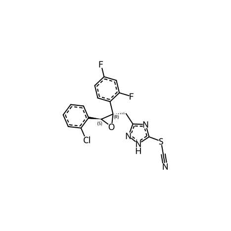 N#CSc1nc(C[C@]2(c3ccc(F)cc3F)O[C@H]2c2ccccc2Cl)n[nH]1